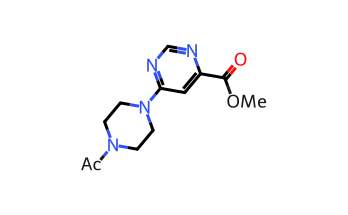 COC(=O)c1cc(N2CCN(C(C)=O)CC2)ncn1